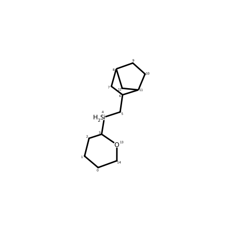 C1CCC([SiH2]CC2CC3CCC2C3)OC1